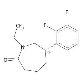 O=C1CCC[C@@H](c2cccc(F)c2F)CN1CC(F)(F)F